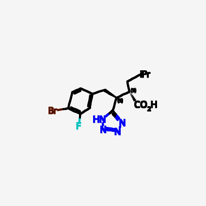 CC(C)C[C@H](C(=O)O)[C@H](Cc1ccc(Br)c(F)c1)c1nnn[nH]1